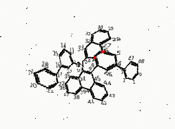 c1ccc(-c2cccc(-c3c(N(c4cccc(-c5ccccc5)c4)c4ccc5ccccc5c4)c4ccccc4c4ccccc34)c2)cc1